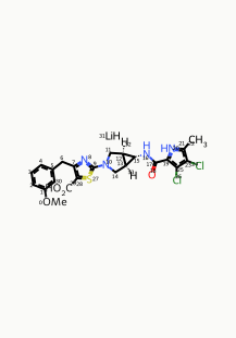 COc1cccc(Cc2nc(N3C[C@@H]4[C@H](C3)[C@H]4NC(=O)c3[nH]c(C)c(Cl)c3Cl)sc2C(=O)O)c1.[LiH]